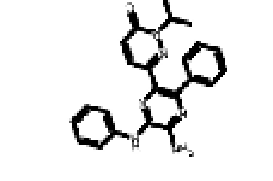 CC(C)n1nc(-c2nc(Nc3ccccc3)c(N)nc2-c2ccccc2)ccc1=O